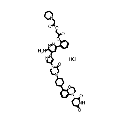 Cl.Nc1nnc(-c2ccccc2OC(=O)COC(=O)CN2CCCCC2)cc1-n1cc(N2CCN(C3CCC(c4cccc5c4OCCN5[C@H]4CCC(=O)NC4=O)CC3)CC2=O)cn1